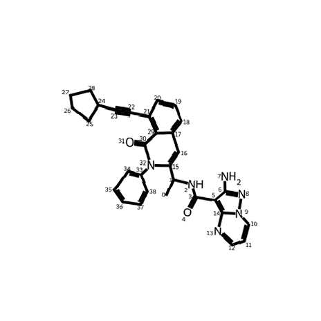 CC(NC(=O)c1c(N)nn2cccnc12)c1cc2cccc(C#CC3CCCC3)c2c(=O)n1-c1ccccc1